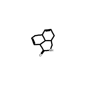 O=C1NCC2CC=CC3CC=CC1C32